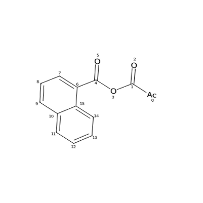 CC(=O)C(=O)OC(=O)c1cccc2ccccc12